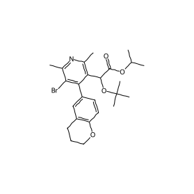 Cc1nc(C)c(C(OC(C)(C)C)C(=O)OC(C)C)c(-c2ccc3c(c2)CCCO3)c1Br